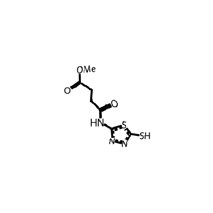 COC(=O)CCC(=O)Nc1nnc(S)s1